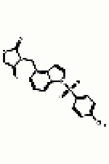 Cc1ccc(S(=O)(=O)n2ccc3c(CN4C(=O)CSC4=O)cccc32)cc1